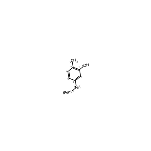 CCCC(C)Nc1ccc(C)c(O)c1